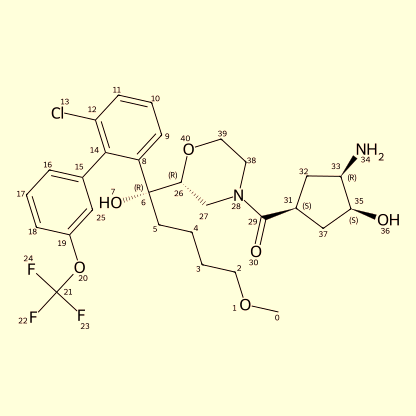 COCCCC[C@@](O)(c1cccc(Cl)c1-c1cccc(OC(F)(F)F)c1)[C@H]1CN(C(=O)[C@H]2C[C@@H](N)[C@@H](O)C2)CCO1